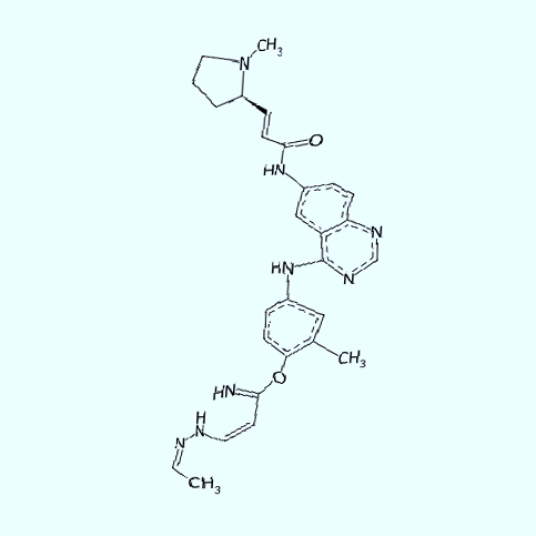 C/C=N\N/C=C\C(=N)Oc1ccc(Nc2ncnc3ccc(NC(=O)/C=C/[C@H]4CCCN4C)cc23)cc1C